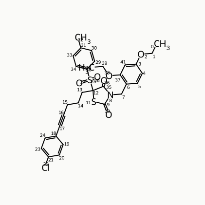 CCOc1ccc(CN2C(=O)SC(CCCC#Cc3ccc(Cl)cc3)(S(=O)(=O)c3ccc(C)cc3)C2=O)c(OCC)c1